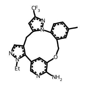 CCn1ncc2c1-c1cnc(N)c(c1)OCc1cc(C)ccc1-n1nc(C(F)(F)F)cc1C2